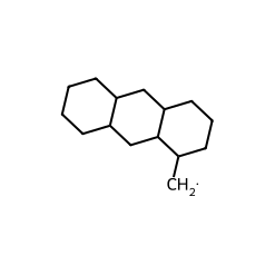 [CH2]C1CCCC2CC3CCCCC3CC12